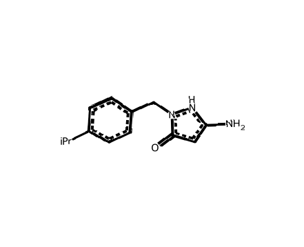 CC(C)c1ccc(Cn2[nH]c(N)cc2=O)cc1